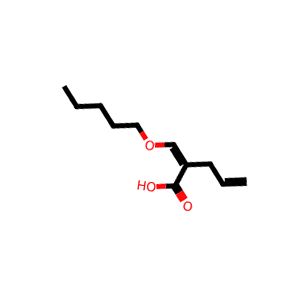 C=CCC(=COCCCCC)C(=O)O